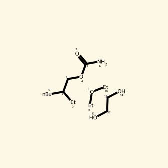 CCCCC(CC)COC(N)=O.CCOCC.OCCO